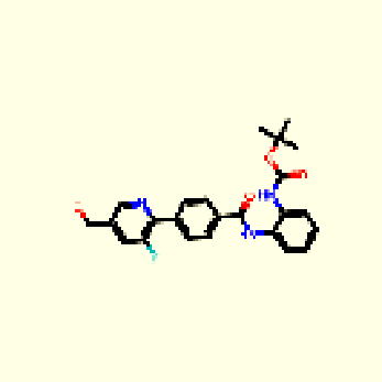 CC(C)(C)OC(=O)Nc1ccccc1NC(=O)c1ccc(-c2ncc(CO)cc2F)cc1